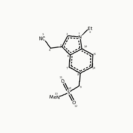 CCn1cc(CC#N)c2cc(CS(=O)(=O)NC)ccc21